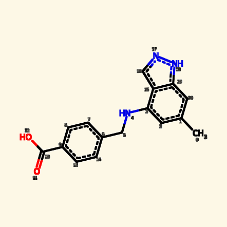 Cc1cc(NCc2ccc(C(=O)O)cc2)c2cn[nH]c2c1